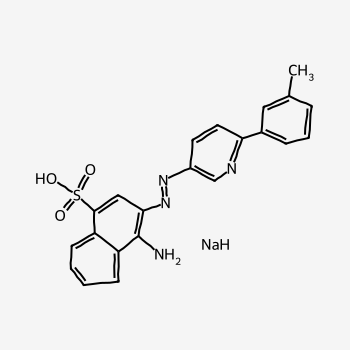 Cc1cccc(-c2ccc(/N=N/c3cc(S(=O)(=O)O)c4ccccc4c3N)cn2)c1.[NaH]